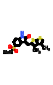 CNS(=O)(=O)c1ccc2c(c1)C(=Cc1sc3scc(C)c3c1C)C(=O)N2